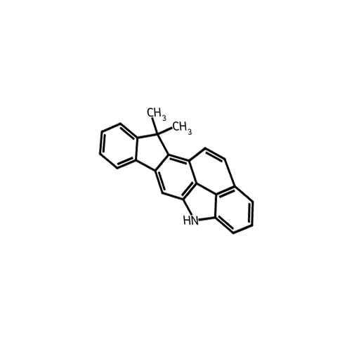 CC1(C)c2ccccc2-c2cc3[nH]c4cccc5ccc(c21)c3c54